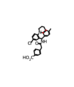 Cc1ccc(C(NC(=O)Cc2ccc(C(=O)O)cc2)c2cc(Cl)ccc2N2CCCCC2)cc1